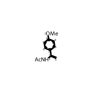 C=C(NC(C)=O)c1ccc(OC)cc1